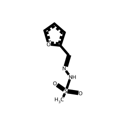 CS(=O)(=O)NN=Cc1ccco1